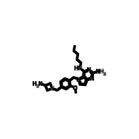 CCCCCNc1nc(N)nc2ccn(Cc3ccc(CN4CC(N)C4)cc3OC)c12